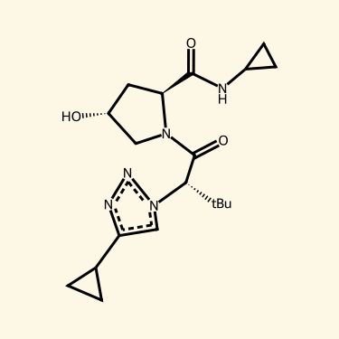 CC(C)(C)[C@@H](C(=O)N1C[C@H](O)C[C@H]1C(=O)NC1CC1)n1cc(C2CC2)nn1